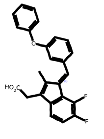 CC1=C(CC(=O)O)c2ccc(F)c(F)c2/C1=C/c1cccc(Oc2ccccc2)c1